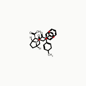 CC1C=CC(C(C(=O)N2C[C@@H]3CC[C@H]([C@H]2C(=O)O)N3C(=O)Cc2ccccc2)c2ccccc2)=CC1